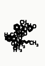 CCCCOC(=O)N[C@@H](C(O[SiH](C)C)c1ccccc1)[C@@H](C[C@@H](Cc1ccccc1)C(=O)N[C@H](C(=O)N1CCC(=O)CC1)[C@@H](C)CC)C(C)(C)C